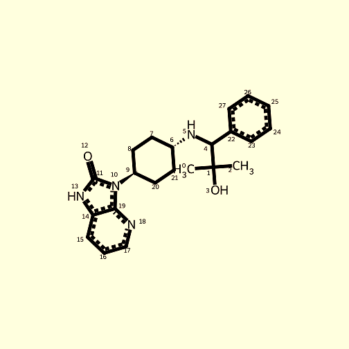 CC(C)(O)C(N[C@H]1CC[C@H](n2c(=O)[nH]c3cccnc32)CC1)c1ccccc1